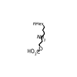 CCCCCCCCCCCCOC(=O)O.N